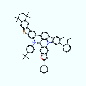 CCc1ccccc1-c1cc2c(cc1C)c1ccc(-c3cc4c(cc3Nc3ccc(C(C)(C)C)cc3)sc3cc5c(cc34)C(C)(C)CCC5(C)C)c3c1n2-c1cc2cc(-c4ccccc4)oc2cc1B3